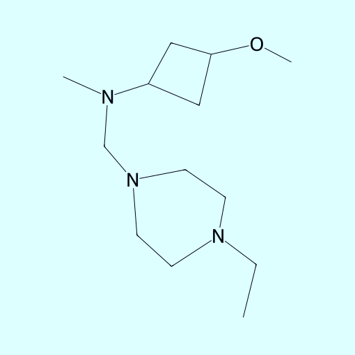 CCN1CCN(CN(C)C2CC(OC)C2)CC1